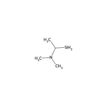 CC([SiH3])N(C)C